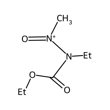 CCOC(=O)N(CC)[N+](C)=O